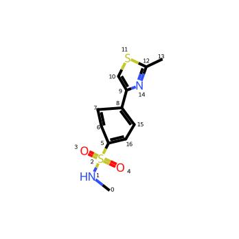 CNS(=O)(=O)c1ccc(-c2csc(C)n2)cc1